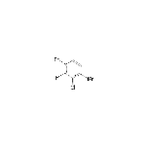 CC(C)c1ccc(C(C)C)c(Cl)c1F